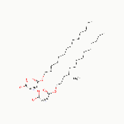 CCCCCCCCCCCCCCOC(=O)/C=C\C(=O)[O-].CCCCCCCCCCCCCCOC(=O)/C=C\C(=O)[O-].[Mg+2]